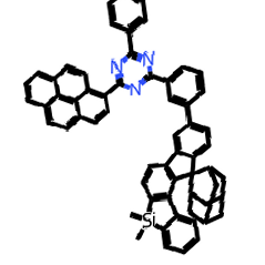 C[Si]1(C)c2ccccc2-c2c1ccc1c2C2(c3ccc(-c4cccc(-c5nc(-c6ccccc6)nc(-c6ccc7ccc8cccc9ccc6c7c89)n5)c4)cc3-1)C1CC3CC(C1)CC2C3